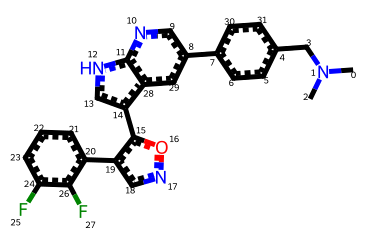 CN(C)Cc1ccc(-c2cnc3[nH]cc(-c4oncc4-c4cccc(F)c4F)c3c2)cc1